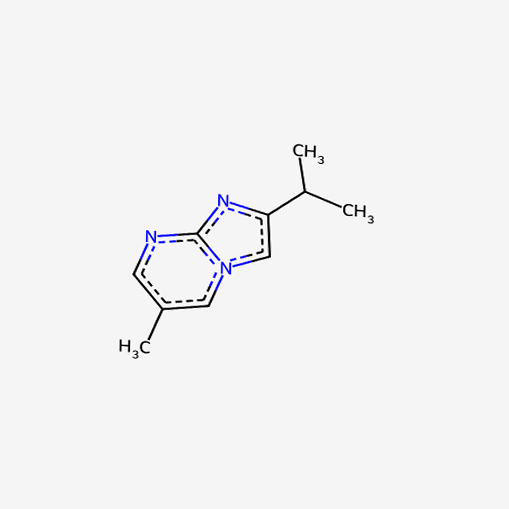 Cc1cnc2nc(C(C)C)cn2c1